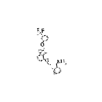 Cc1c(COc2cccc(C(F)(F)F)c2)oc2cccc(OCCCc3ncccc3CN)c12